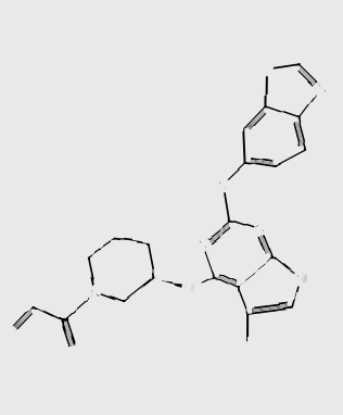 C=CC(=O)N1CCC[C@@H](Nc2nc(Nc3ccc4ncsc4c3)nc3[nH]cc(C)c23)C1